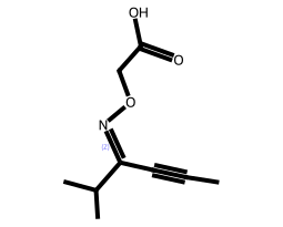 CC#C/C(=N\OCC(=O)O)C(C)C